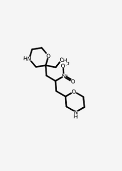 CCC1(CC(CC2CNCCO2)[N+](=O)[O-])CNCCO1